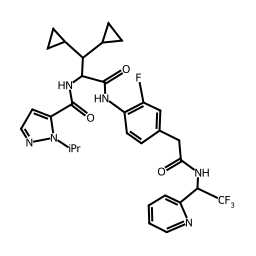 CC(C)n1nccc1C(=O)NC(C(=O)Nc1ccc(CC(=O)NC(c2ccccn2)C(F)(F)F)cc1F)C(C1CC1)C1CC1